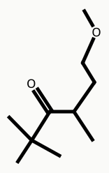 COCCC(C)C(=O)C(C)(C)C